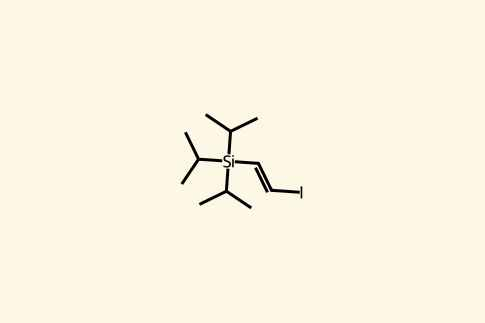 CC(C)[Si](C=CI)(C(C)C)C(C)C